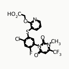 Cn1c(C(F)(F)F)cc(=O)n(-c2cc(Sc3cccnc3OCC(=O)O)c(Cl)cc2F)c1=O